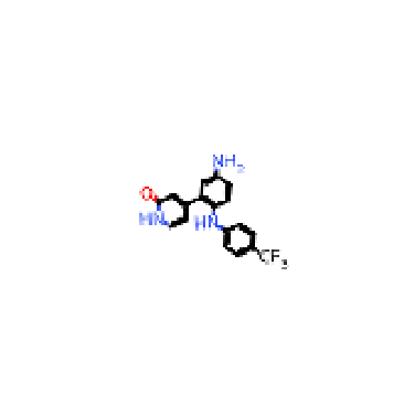 Nc1ccc(Nc2ccc(C(F)(F)F)cc2)c(-c2cc[nH]c(=O)c2)c1